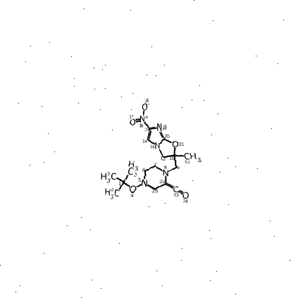 CC(C)(C)ON1CCN(CC2(C)Cn3cc([N+](=O)[O-])nc3O2)C(=C=O)C1